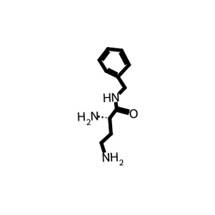 NCC[C@H](N)C(=O)NCc1ccccc1